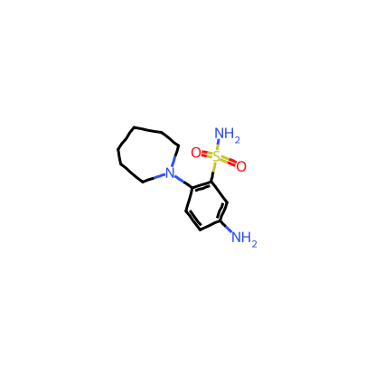 Nc1ccc(N2CCCCCC2)c(S(N)(=O)=O)c1